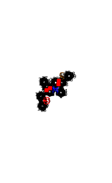 c1ccc(N(c2ccc(-c3cccc4c3oc3ccccc34)cc2)c2ccccc2-c2cccc3ccccc23)c(-c2ccc3sc4ccccc4c3c2)c1